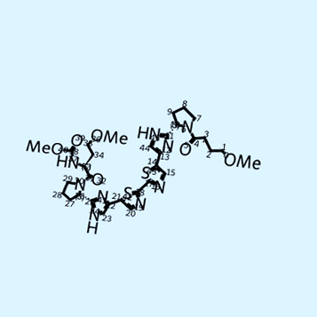 COCC[CH]C(=O)N1CCC[C@H]1c1nc(-c2cnc(-c3ncc(-c4c[nH]c([C@@H]5CCCN5C(=O)[C@H](CCOC)NC(=O)OC)n4)s3)s2)c[nH]1